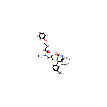 CC1=C(C(=O)O)C(c2cccc([N+](=O)[O-])c2)N(CCCN(C)C(=O)CCCOc2ccccc2)C(=O)N1